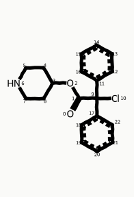 O=C(OC1CCNCC1)C(Cl)(c1ccccc1)c1ccccc1